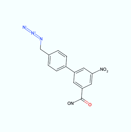 [N-]=[N+]=NCc1ccc(-c2cc(C(=O)N=O)cc([N+](=O)[O-])c2)cc1